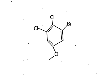 COc1cc(Cl)c(Cl)c(Br)c1